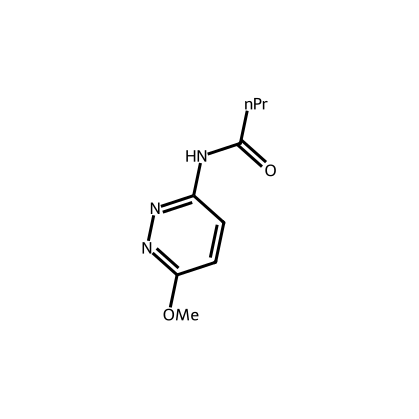 CCCC(=O)Nc1ccc(OC)nn1